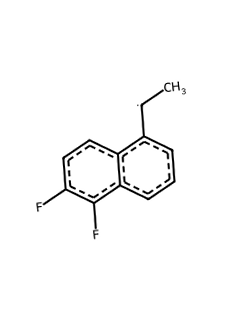 C[CH]c1cccc2c(F)c(F)ccc12